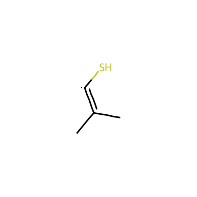 CC(C)=[C]S